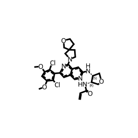 C=CC(=O)N[C@H]1COC[C@H]1Nc1cc2c(N3CCC4(CCOC4)C3)nc(-c3c(Cl)c(OC)cc(OC)c3Cl)cc2cn1